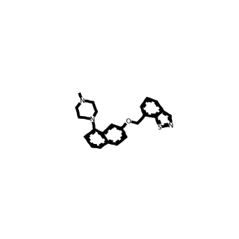 CN1CCN(c2cccc3ccc(OCc4cccc5cnsc45)cc23)CC1